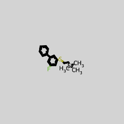 C[Si](C)(C)CCSc1cc(F)cc(-c2ccccc2)c1